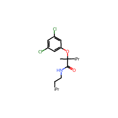 CC(C)CCNC(=O)C(C)(Oc1cc(Cl)cc(Cl)c1)C(C)C